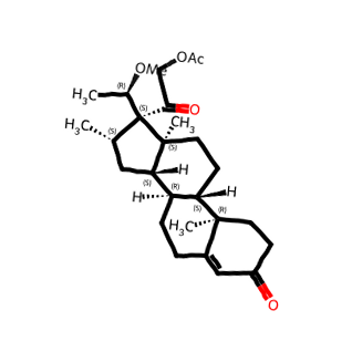 CO[C@H](C)[C@]1(C(=O)COC(C)=O)[C@@H](C)C[C@H]2[C@@H]3CCC4=CC(=O)CC[C@]4(C)[C@H]3CC[C@@]21C